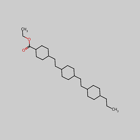 CCCC1CCC(CCC2CCC(CCC3CCC(C(=O)OCC)CC3)CC2)CC1